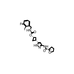 O=C(NCc1cccc(F)c1F)O[C@H]1C[C@@H](c2cc(NC(=O)[C@H]3CCCO3)n[nH]2)C1